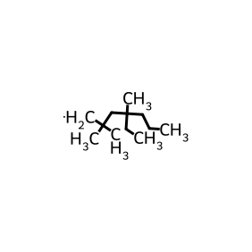 [CH2]C(C)(C)CC(C)(CC)CCC